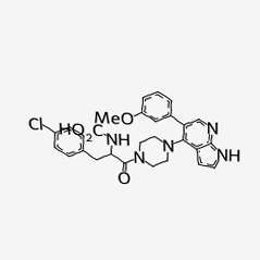 COc1cccc(-c2cnc3[nH]ccc3c2N2CCN(C(=O)C(Cc3ccc(Cl)cc3)NC(=O)O)CC2)c1